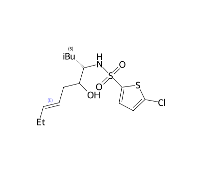 CC/C=C/CC(O)C(NS(=O)(=O)c1ccc(Cl)s1)[C@@H](C)CC